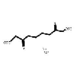 O=C([O-])CC(=S)CCCCC(=S)CC(=O)[O-].[Na+].[Na+]